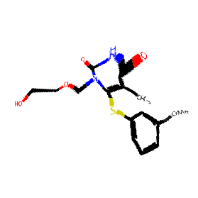 COc1cccc(Sc2c(C)c(=O)[nH]c(=O)n2COCCO)c1